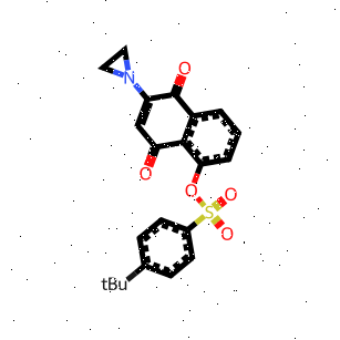 CC(C)(C)c1ccc(S(=O)(=O)Oc2cccc3c2C(=O)C=C(N2CC2)C3=O)cc1